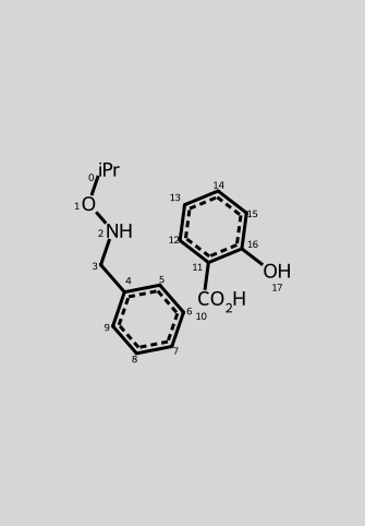 CC(C)ONCc1ccccc1.O=C(O)c1ccccc1O